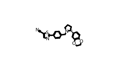 N#Cc1cnc(-c2ccc(CN3CCC[C@H]3c3ccc4c(c3)OCCO4)cc2)s1